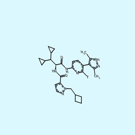 Cc1n[nH]c(C)c1-c1ccc(NC(=O)[C@@H](NC(=O)c2ccnn2CC2CCC2)C(C2CC2)C2CC2)nc1F